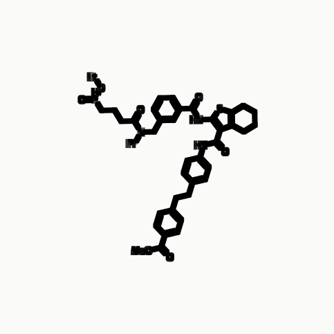 CCO[PH](=O)CCCC(=O)N(Cc1cccc(C(=O)Nc2sc3c(c2C(=O)Nc2ccc(CCc4ccc(C(=O)OC)cc4)cc2)CCCC3)c1)C(C)C